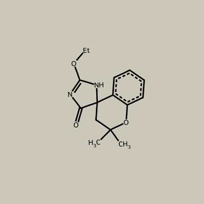 CCOC1=NC(=O)C2(CC(C)(C)Oc3ccccc32)N1